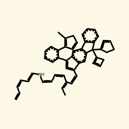 C=C/C=C\C=C\N\C=C/C=C\C(\C=C/C1=C=C(c2ccccc2C2=C(C)CC=C2)c2cc3c(cc21)C(C1=C=CC1)(C1=C=CCC1)c1ccccc1-3)=C\C